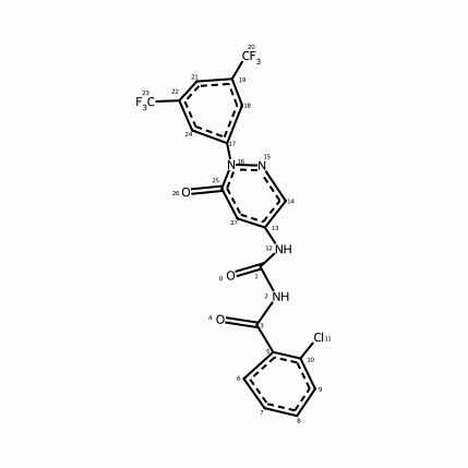 O=C(NC(=O)c1ccccc1Cl)Nc1cnn(-c2cc(C(F)(F)F)cc(C(F)(F)F)c2)c(=O)c1